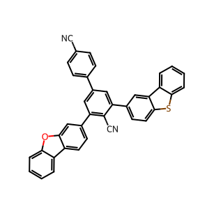 N#Cc1ccc(-c2cc(-c3ccc4c(c3)oc3ccccc34)c(C#N)c(-c3ccc4sc5ccccc5c4c3)c2)cc1